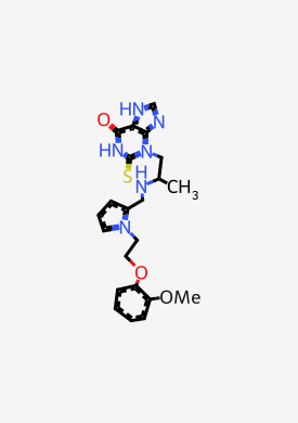 COc1ccccc1OCCn1cccc1CNC(C)Cn1c(=S)[nH]c(=O)c2[nH]cnc21